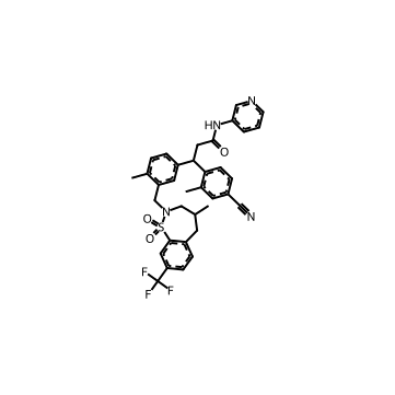 Cc1ccc(C(CC(=O)Nc2cccnc2)c2ccc(C#N)cc2C)cc1CN1CC(C)Cc2ccc(C(F)(F)F)cc2S1(=O)=O